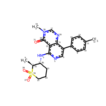 C[C@H]1[C@H](Nc2ncc(-c3ccc(C(F)(F)F)cc3)c3ncn(C)c(=O)c23)CCCS1(=O)=O